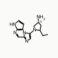 CCC1C[C@H](N)CN1c1cnc2cnc3[nH]ccc3n12